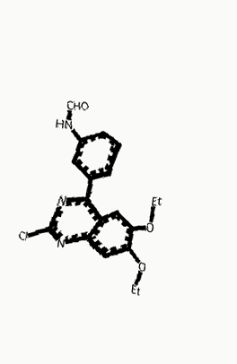 CCOc1cc2nc(Cl)nc(-c3cccc(NC=O)c3)c2cc1OCC